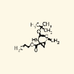 C=CCOC(=O)[C@@]1(NC(=O)OC(C)(C)C)C[C@H]1C=C